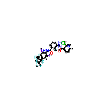 O=C(Nc1cccc(C(=O)Nc2c(I)cc(C(F)(C(F)(F)F)C(F)(F)F)cc2I)c1F)c1cccnc1Cl